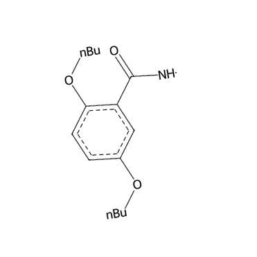 CCCCOc1ccc(OCCCC)c(C([NH])=O)c1